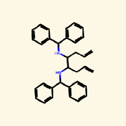 C=CCC(NC(c1ccccc1)c1ccccc1)C(CC=C)NC(c1ccccc1)c1ccccc1